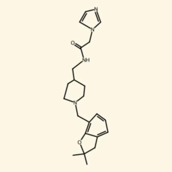 CC1(C)Cc2cccc(CN3CCC(CNC(=O)Cn4ccnc4)CC3)c2O1